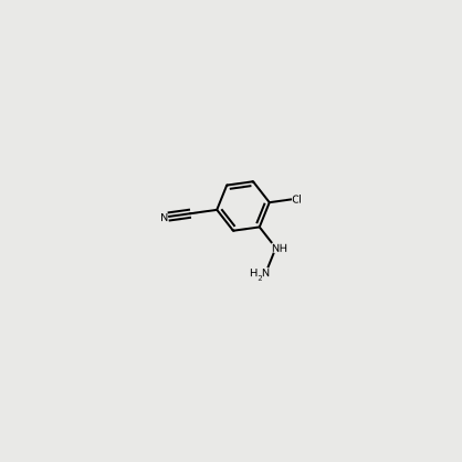 N#Cc1ccc(Cl)c(NN)c1